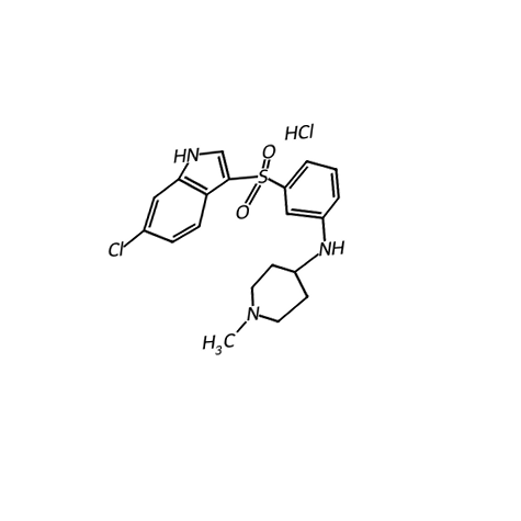 CN1CCC(Nc2cccc(S(=O)(=O)c3c[nH]c4cc(Cl)ccc34)c2)CC1.Cl